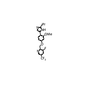 COc1cc(OCc2ncc(C(F)(F)F)cc2F)ccc1-c1cnc(C(C)C)[nH]1